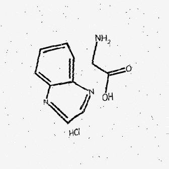 Cl.NCC(=O)O.c1ccc2nccnc2c1